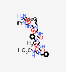 COCCCN(CC(=O)NCC(=O)N(CC(=O)NCC(=O)N(CC(=O)NCC(=O)O)Cc1ccccc1)C(C)c1ccccc1)C(=O)CNC(=O)CN(C(=O)CN)C(C)C